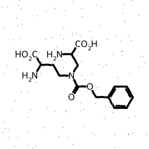 NC(CCN(CC(N)C(=O)O)C(=O)OCc1ccccc1)C(=O)O